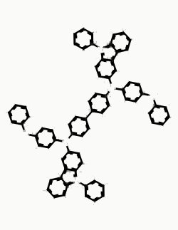 c1ccc(Oc2ccc(N(c3ccc(-c4ccc(N(c5ccc(Oc6ccccc6)cc5)c5ccc6c(c5)c5ccccc5n6-c5ccccc5)cc4)cc3)c3ccc4c(c3)c3ccccc3n4-c3ccccc3)cc2)cc1